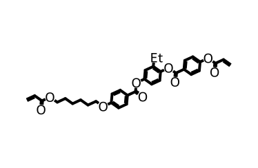 C=CC(=O)OCCCCCCOc1ccc(C(=O)Oc2ccc(OC(=O)c3ccc(OC(=O)C=C)cc3)c(CC)c2)cc1